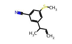 C=C[C](C)c1cc(C#N)cc(SC)c1